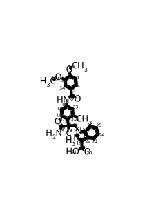 COc1ccc(C(=O)Nc2ccc(C(C)(Cn3nc(C(=O)O)c4ccccc43)C(N)=O)c(C)c2)cc1OC